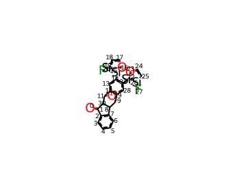 O=C1c2ccccc2C2C3OC(c4cc(-[si]5occ[si]5F)c(-[si]5occ[si]5F)cc43)C12